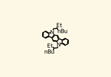 CCCCC(CC)Cn1c2ccccc2c2cc3c(cc21)c1ccccc1n3CC(CC)CCCC